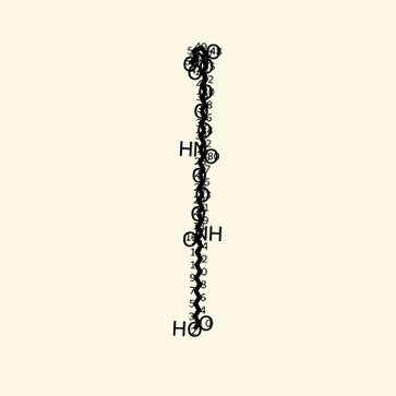 O=C(O)CCCCCCCCCCCCC(=O)NCCOCCOCCOCCC(=O)NCCOCCOCCOCCC(=O)ON1C(=O)CCC1=O